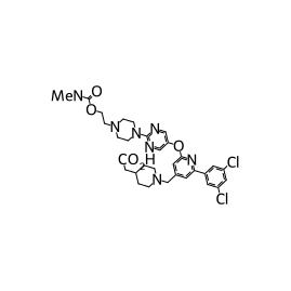 CNC(=O)OCCN1CCN(c2ncc(Oc3cc(CN4CCC(CC(=O)O)CC4)cc(-c4cc(Cl)cc(Cl)c4)n3)cn2)CC1